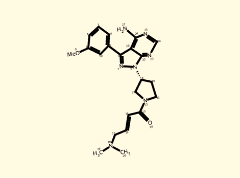 COc1cccc(-c2nn([C@@H]3CCN(C(=O)C=CCN(C)C)C3)c3ncnc(N)c23)c1